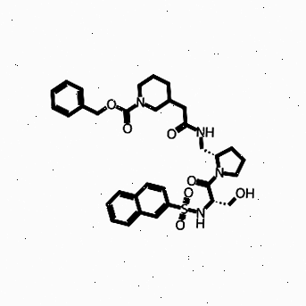 O=C(CC1CCCN(C(=O)OCc2ccccc2)C1)NC[C@@H]1CCCN1C(=O)[C@H](CO)NS(=O)(=O)c1ccc2ccccc2c1